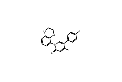 Cc1cc(=O)n(-c2cccc3c2OCCO3)cc1-c1ccc(F)cc1